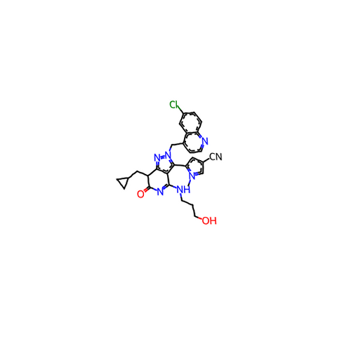 Cn1cc(C#N)cc1-c1c2c(nn1Cc1ccnc3ccc(Cl)cc13)C(CC1CC1)C(=O)N=C2NCCCO